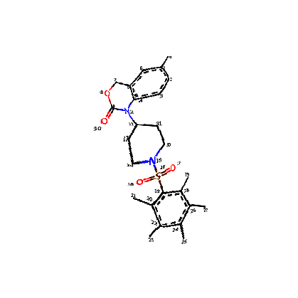 Cc1ccc2c(c1)COC(=O)N2C1CCN(S(=O)(=O)c2c(C)c(C)c(C)c(C)c2C)CC1